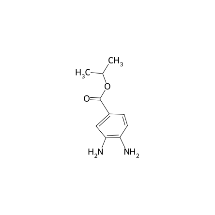 CC(C)OC(=O)c1ccc(N)c(N)c1